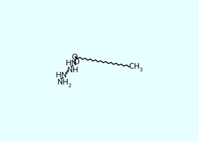 CCCCCCCCCCCCCCCCCCCCCC(=O)ONCCNCCNCCN